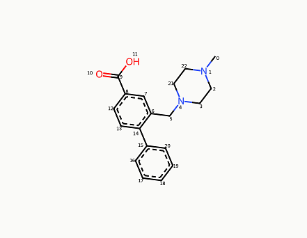 CN1CCN(Cc2cc(C(=O)O)ccc2-c2ccccc2)CC1